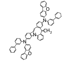 C=C1c2cc(N(c3cccc(C4=CCCC=C4)c3)c3ccc4c(c3)oc3ccccc34)ccc2/C=C2/c3ccc(N(c4cccc(-c5ccccc5)c4)c4ccc5oc6ccccc6c5c4)cc3N2c2ccccc21